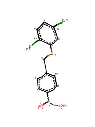 OB(O)c1ccc(CSc2cc(F)ccc2F)cc1